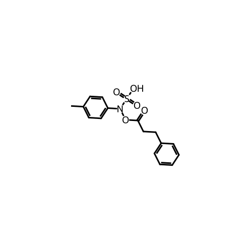 Cc1ccc(N(OC(=O)CCc2ccccc2)S(=O)(=O)O)cc1